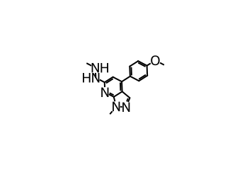 CNNc1cc(-c2ccc(OC)cc2)c2cnn(C)c2n1